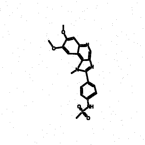 COc1cc2ncc3nc(-c4ccc(NS(C)(=O)=O)cc4)n(C)c3c2cc1OC